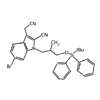 CC(CO[Si](c1ccccc1)(c1ccccc1)C(C)(C)C)Cn1c(C#N)c(CC#N)c2ccc(Br)cc21